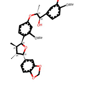 COc1ccc([C@@H](O)[C@@H](C)Oc2ccc([C@H]3O[C@H](c4ccc5c(c4)OCO5)[C@H](C)[C@H]3C)c(OC)c2)cc1O